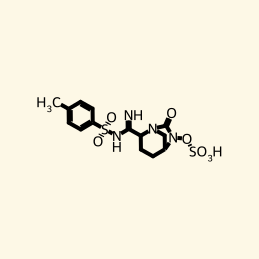 Cc1ccc(S(=O)(=O)NC(=N)C2CCC3CN2C(=O)N3OS(=O)(=O)O)cc1